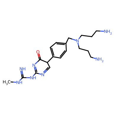 CNC(=N)NC1=NC(=O)C(c2ccc(CN(CCCN)CCCN)cc2)C=N1